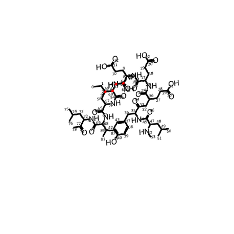 CCC(C)C(NC(=O)C(CCC(=O)O)NC(=O)C(CCC(=O)O)NC(=O)C(CCC(=O)O)CC(=O)C(Cc1ccc(O)cc1)NC(=O)C(CC(C)C)NC)C(=O)NC(CCCNC(=N)N)C(=O)NC(C(=O)NC(CC(C)C)C(C)=O)C(C)C